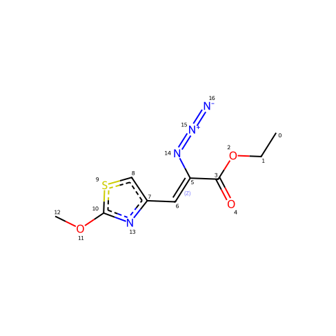 CCOC(=O)/C(=C/c1csc(OC)n1)N=[N+]=[N-]